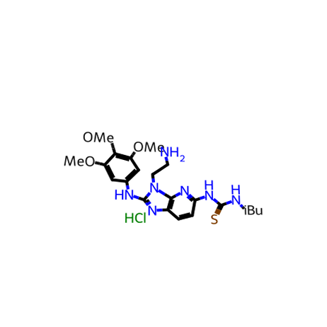 CCC(C)NC(=S)Nc1ccc2nc(Nc3cc(OC)c(OC)c(OC)c3)n(CCN)c2n1.Cl